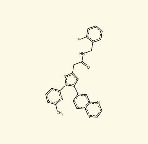 Cc1cccc(-n2nc(CC(=O)NCc3ccccc3F)cc2-c2ccc3nccnc3c2)n1